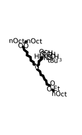 CCCCCCCCC(CC)OC(=O)CCCCCCCN(CCCCCCCC(=O)OC(CCCCCCCC)CCCCCCCC)CCCNS(C)(=O)=N[Si](C)(C)C(C)(C)C